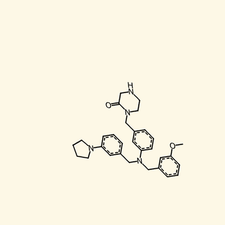 COc1cccc(CN(Cc2cccc(N3CCCC3)c2)c2cccc(CN3CCNCC3=O)c2)c1